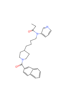 CCC(=O)N(CCCCC1CCN(C(=O)c2ccc3ccccc3c2)CC1)c1cccnc1